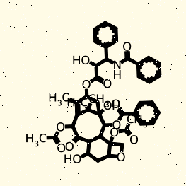 CC(=O)OC1C(=O)C2C(O)CC3OCC3(OC(C)=O)C2C(OC(=O)c2ccccc2)C2(O)CC(OC(=O)C(O)C(NC(=O)c3ccccc3)c3ccccc3)C(C)=C1C2(C)C